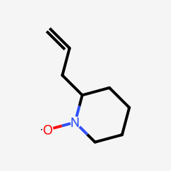 C=CCC1CCCCN1[O]